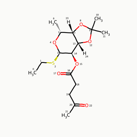 CCS[C@H]1O[C@H](C)[C@@H]2OC(C)(C)O[C@@H]2[C@H]1OC(=O)CCC(C)=O